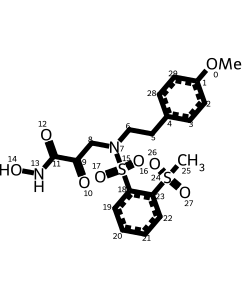 COc1ccc(CCN(CC(=O)C(=O)NO)S(=O)(=O)c2ccccc2S(C)(=O)=O)cc1